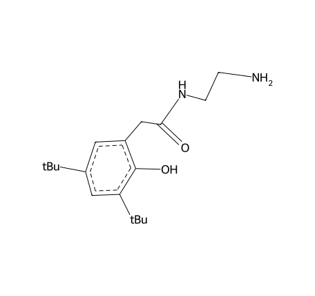 CC(C)(C)c1cc(CC(=O)NCCN)c(O)c(C(C)(C)C)c1